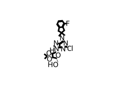 CC1(C)OC2[C@@H](CO)O[C@@H](n3cnc4c(N5CC6(Cc7cccc(F)c7C6)C5)nc(Cl)nc43)[C@H]2O1